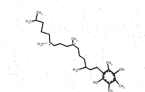 Cc1c(C)c(O)c(CCC(C)CCC[C@H](C)CCC[C@H](C)CCCC(C)C)c(C)c1O